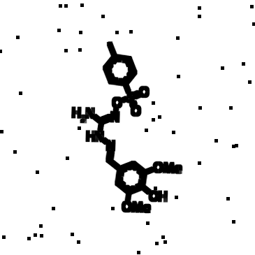 COc1cc(C=NNC(N)=NOS(=O)(=O)c2ccc(C)cc2)cc(OC)c1O